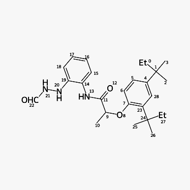 CCC(C)(C)c1ccc(OC(C)C(=O)Nc2ccccc2NNC=O)c(C(C)(C)CC)c1